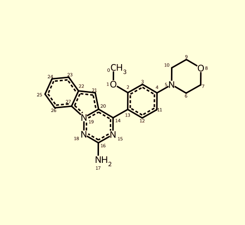 COc1cc(N2CCOCC2)ccc1-c1nc(N)nn2c1cc1ccccc12